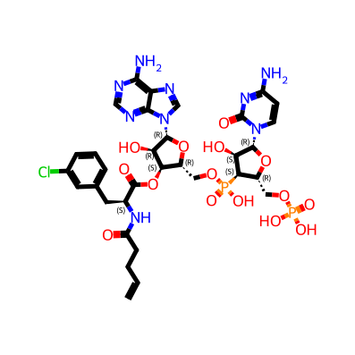 C=CCCC(=O)N[C@@H](Cc1cccc(Cl)c1)C(=O)O[C@H]1[C@@H](O)[C@H](n2cnc3c(N)ncnc32)O[C@@H]1COP(=O)(O)[C@H]1[C@@H](O)[C@H](n2ccc(N)nc2=O)O[C@@H]1COP(=O)(O)O